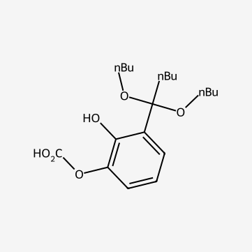 CCCCOC(CCCC)(OCCCC)c1cccc(OC(=O)O)c1O